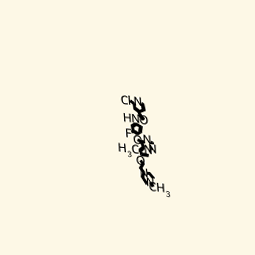 Cc1c(OCCN2CCN(C)CC2)cn2ncnc(Oc3ccc(NC(=O)c4ccnc(Cl)c4)cc3F)c12